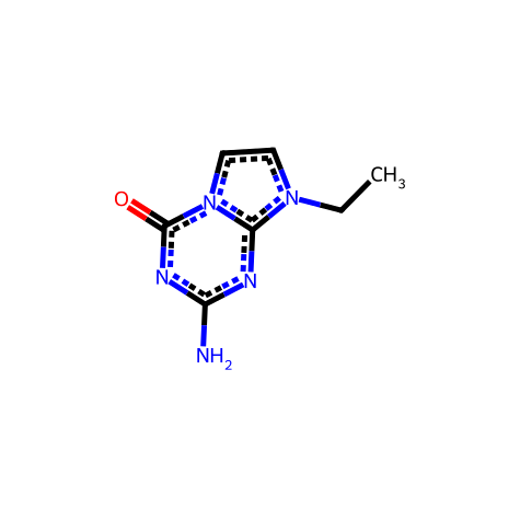 CCn1ccn2c(=O)nc(N)nc12